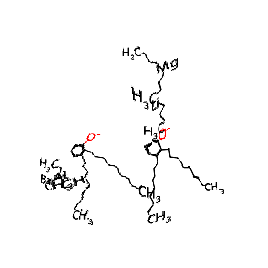 CCCCCCCCCc1cccc([O-])c1CCCCCCCCC.CCCCCCCCCc1cccc([O-])c1CCCCCCCCC.CCC[CH2][Mg][CH2]CCC.C[CH2][Al]([CH2]C)[CH2]C.[Ba+2].[Li][CH2]CCC